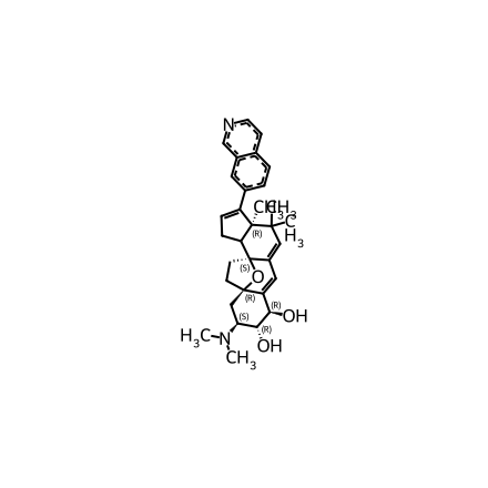 CN(C)[C@H]1C[C@@]23CC[C@@]4(O2)C(=CC(C)(C)[C@]2(C)C(c5ccc6ccncc6c5)=CCC42)C=C3[C@@H](O)[C@@H]1O